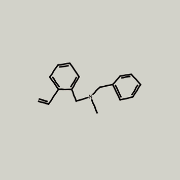 C=Cc1ccccc1CN(C)Cc1ccccc1